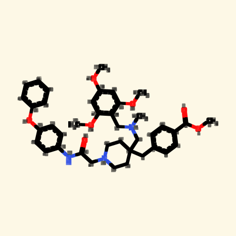 COC(=O)c1ccc(CC2(CN(C)Cc3c(OC)cc(OC)cc3OC)CCN(CC(=O)Nc3ccc(Oc4ccccc4)cc3)CC2)cc1